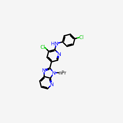 CCCn1c(-c2cnc(Nc3ccc(Cl)cc3)c(Cl)c2)nc2cccnc21